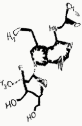 C=Cc1cn([C@@H]2OC(CO)C(O)[C@@]2(C)F)c2ncnc(NC(C)=O)c12